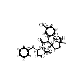 CC1(C)CCC([C@@H](C(=O)N2C(=O)OC[C@H]2Cc2ccccc2)c2cccc(Cl)c2)(C(C)(C)C)N1C(=O)O